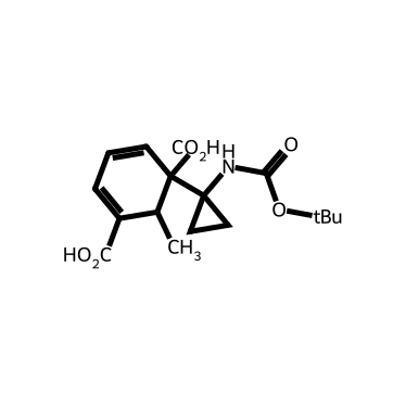 CC1C(C(=O)O)=CC=CC1(C(=O)O)C1(NC(=O)OC(C)(C)C)CC1